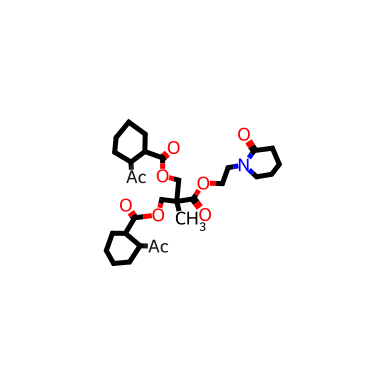 CC(=O)C1CCCCC1C(=O)OCC(C)(COC(=O)C1CCCCC1C(C)=O)C(=O)OCCN1CCCCC1=O